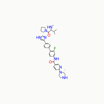 CN[C@H](C(=O)N1CCC[C@H]1c1nc(-c2ccc(-c3ccc(NC(=O)c4ccc(N5CCNC[C@H]5C)nc4)cc3F)cc2)c[nH]1)C(C)C